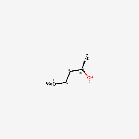 CC[C@@H](O)CCOC